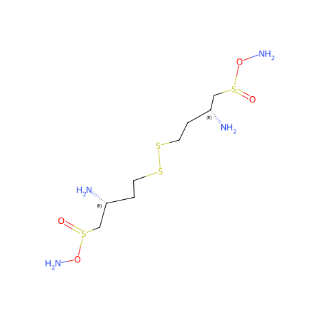 NOS(=O)C[C@H](N)CCSSCC[C@@H](N)CS(=O)ON